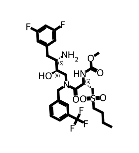 CCCCS(=O)(=O)C[C@@H](NC(=O)OC)C(=O)N(Cc1cccc(C(F)(F)F)c1)C[C@@H](O)[C@@H](N)Cc1cc(F)cc(F)c1